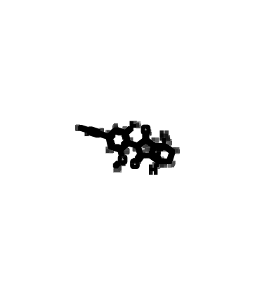 CC#Cc1cc(F)c(C2C(=O)C3C(C2=O)[C@H]2CC[C@@H]3O2)c(OC)c1